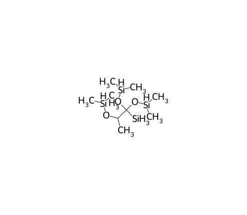 CC(O[SiH](C)C)C([SiH3])(O[SiH](C)C)O[SiH](C)C